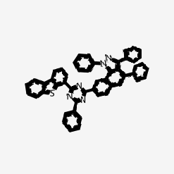 c1ccc(-c2nc(-c3ccc4cc(-c5ccccc5)c5c(-c6ccccc6)nn(-c6ccccc6)c5c4c3)nc(-c3cccc4c3sc3ccccc34)n2)cc1